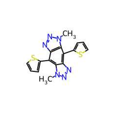 Cn1nnc2c(-c3cccs3)c3c(nnn3C)c(-c3cccs3)c21